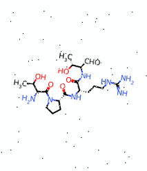 C[C@@H](O)[C@H](N)C(=O)N1CCC[C@H]1C(=O)N[C@@H](CCCNC(=N)N)C(=O)N[C@H]([C]=O)[C@@H](C)O